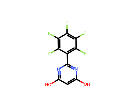 Oc1cc(O)nc(-c2c(F)c(F)c(F)c(F)c2F)n1